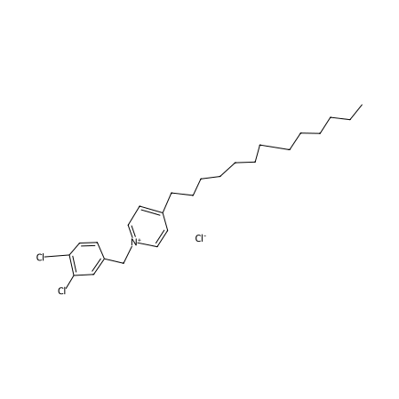 CCCCCCCCCCCCCc1cc[n+](Cc2ccc(Cl)c(Cl)c2)cc1.[Cl-]